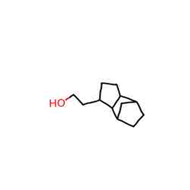 OCCC1CCC2C3CCC(C3)C12